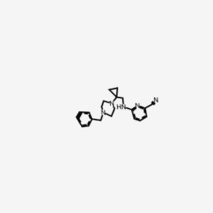 N#Cc1cccc(NCC2(N3CCN(Cc4cc#ccc4)CC3)CC2)n1